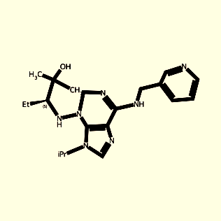 CC[C@H](NN1CN=C(NCc2cccnc2)c2ncn(C(C)C)c21)C(C)(C)O